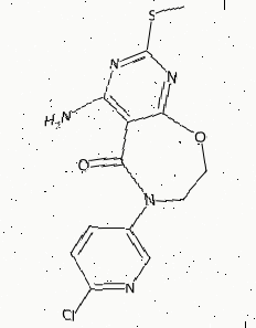 CSc1nc(N)c2c(n1)OCCN(c1ccc(Cl)nc1)C2=O